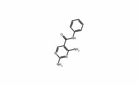 Nc1ncc(C(=O)Nc2ccccc2)c(N)n1